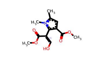 COC(=O)/C(=C\O)c1c(C(=O)OC)cc(C)n1C